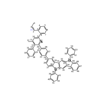 C/C=C\c1ccccc1-c1cc(C)c(-c2ccccc2)c(-c2ccc(-c3ccc4c(c3)-c3cc5c(cc3B4c3ccccc3)c3ccccc3n5-c3ccccc3)cc2)n1